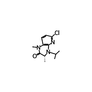 CC(C)N1c2nc(Cl)ccc2N(C)C(=O)[C@H]1C